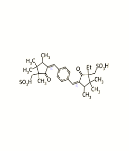 CCC1(CS(=O)(=O)O)C(=O)/C(=C\c2ccc(/C=C3\C(=O)C(C)(CS(=O)(=O)O)C(C)(C)C3C)cc2)C(C)C1(C)C